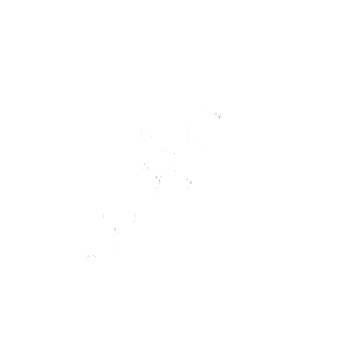 Cc1nn2c(C3CCCN(CC(C)C)C3)ccnc2c1-c1ccncc1